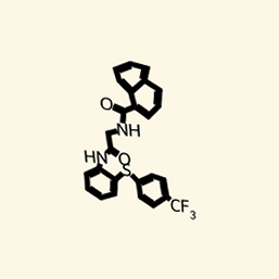 O=C(CNC(=O)c1cccc2ccccc12)Nc1ccccc1Sc1ccc(C(F)(F)F)cc1